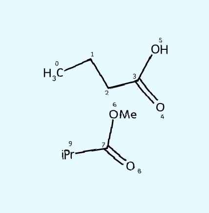 CCCC(=O)O.COC(=O)C(C)C